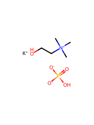 C[N+](C)(C)CCO.O=P([O-])([O-])O.[K+]